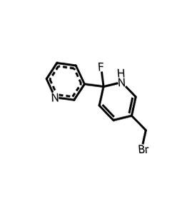 FC1(c2cccnc2)C=CC(CBr)=CN1